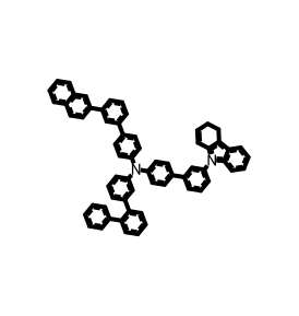 C1=Cc2c(c3ccccc3n2-c2cccc(-c3ccc(N(c4ccc(-c5cccc(-c6ccc7ccccc7c6)c5)cc4)c4cccc(-c5ccccc5-c5ccccc5)c4)cc3)c2)CC1